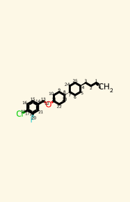 C=CCC[C@H]1CC[C@H](C2CCC(OCc3ccc(Cl)c(F)c3)CC2)CC1